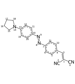 N#CC(C#N)=Cc1ccc(N=Nc2ccc(N3CCCC3)cc2)cc1